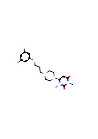 Cn1c(N2CCN(CCCOc3cc(Cl)cc(Cl)c3)CC2)cc(=O)n(C)c1=O